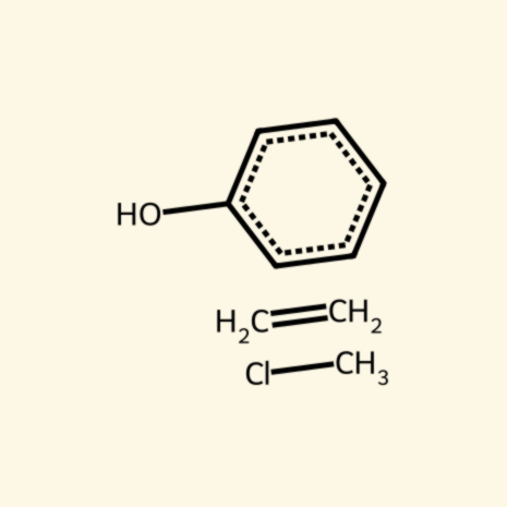 C=C.CCl.Oc1ccccc1